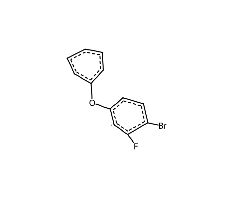 Fc1[c]c(Oc2ccccc2)ccc1Br